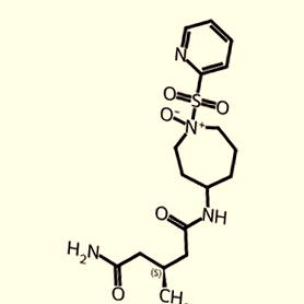 C[C@@H](CC(N)=O)CC(=O)NC1CCC[N+]([O-])(S(=O)(=O)c2ccccn2)CC1